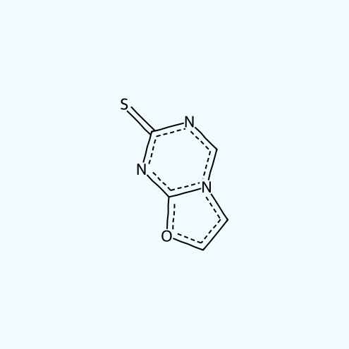 S=c1ncn2ccoc2n1